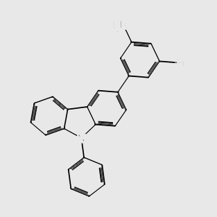 Bc1cc(Br)cc(-c2ccc3c(c2)c2ccccc2n3-c2ccccc2)c1